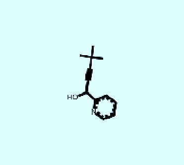 CC(C)(C)C#CC(O)c1ccccn1